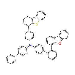 C1=C(c2ccc(N(c3ccc(-c4ccccc4)cc3)c3ccc(-c4ccccc4-c4cccc5c4oc4ccccc45)cc3)cc2)c2sc3ccccc3c2CC1